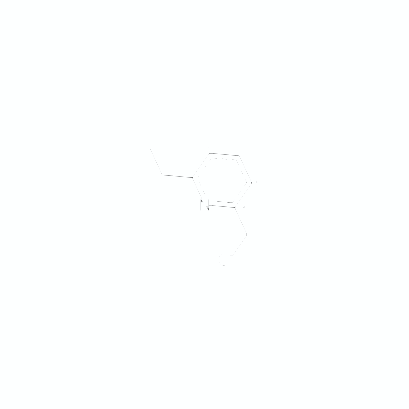 CCc1cccc(CCl)n1